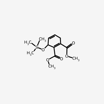 COC(=O)C1=C(C(=O)OC)C(O[Si](C)(C)C)C=CC1